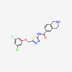 O=C(Nc1nnc(COc2cc(F)cc(Cl)c2)s1)c1ccc2c(c1)CCNC2